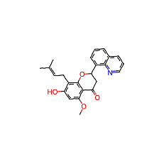 COc1cc(O)c(CC=C(C)C)c2c1C(=O)CC(c1cccc3cccnc13)O2